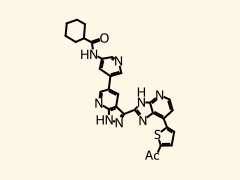 CC(=O)c1ccc(-c2ccnc3[nH]c(-c4n[nH]c5ncc(-c6cncc(NC(=O)C7CCCCC7)c6)cc45)nc23)s1